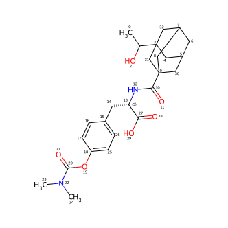 CC(O)C12CC3CC(CC(C(=O)N[C@@H](Cc4ccc(OC(=O)N(C)C)cc4)C(=O)O)(C3)C1)C2